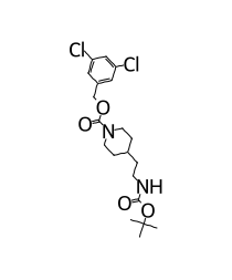 CC(C)(C)OC(=O)NCCC1CCN(C(=O)OCc2cc(Cl)cc(Cl)c2)CC1